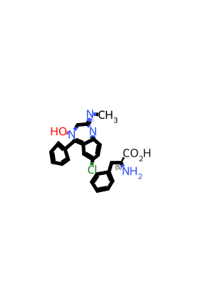 C/N=C1/CN(O)C(c2ccccc2)=c2cc(Cl)ccc2=N1.N[C@@H](Cc1ccccc1)C(=O)O